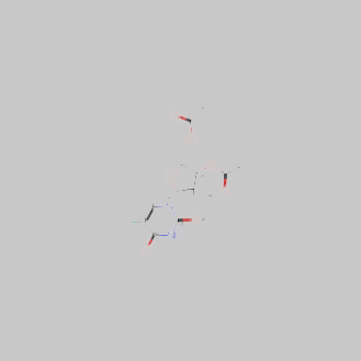 CC(=O)OC[C@H]1O[C@@H](n2cc(F)c(=O)[nH]c2=O)[C@](C)(F)[C@@H]1OC(C)=O